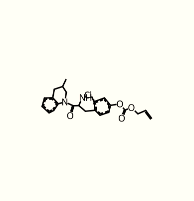 C=CCOC(=O)Oc1ccc(CC(N)C(=O)N2CC(C)Cc3ccccc32)c(Cl)c1